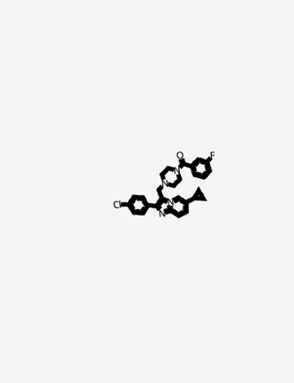 O=C(c1cccc(F)c1)N1CCN(Cc2c(-c3ccc(Cl)cc3)nc3ccc(C4CC4)cn23)CC1